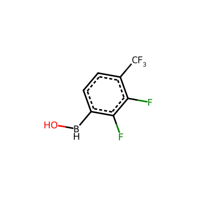 OBc1ccc(C(F)(F)F)c(F)c1F